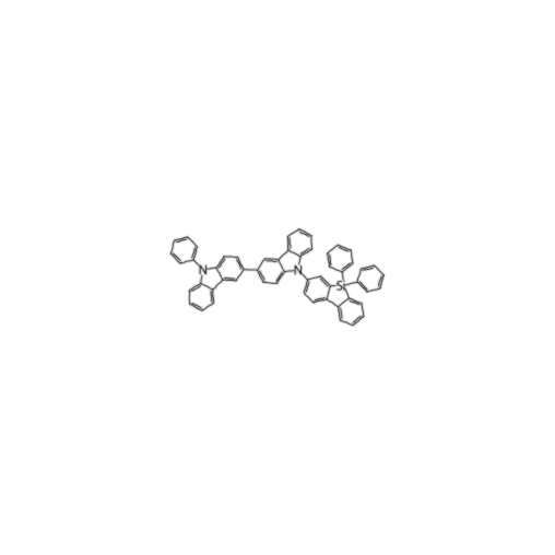 c1ccc(-n2c3ccccc3c3cc(-c4ccc5c(c4)c4ccccc4n5-c4ccc5c(c4)[Si](c4ccccc4)(c4ccccc4)c4ccccc4-5)ccc32)cc1